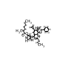 CCCCCC(C)C(=O)O[C@]12C[C@@H](CN1)N(c1nc(SCC)nc3c(O[C@@H](C)c4ccccc4)c(Br)c(C4CC4)cc13)C2